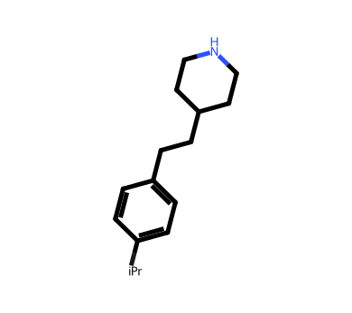 CC(C)c1ccc(CCC2CCNCC2)cc1